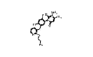 CC(=O)CCOc1ncccc1Sc1cc(-n2c(=O)cc(C(F)(F)F)n(N)c2=O)c(F)cc1Cl